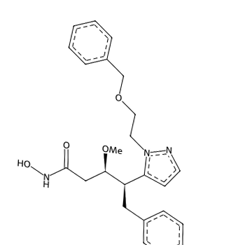 CO[C@H](CC(=O)NO)[C@H](Cc1ccc(Cl)cc1)c1ccnn1CCOCc1ccccc1